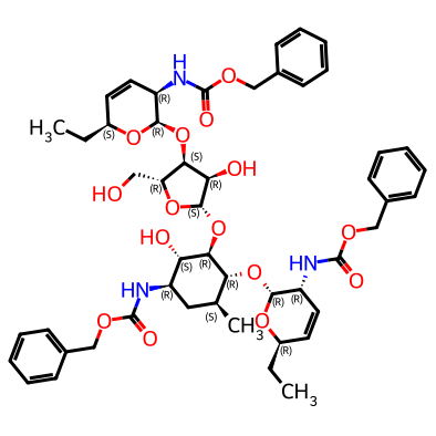 CC[C@H]1C=C[C@@H](NC(=O)OCc2ccccc2)[C@@H](O[C@H]2[C@@H](O)[C@H](O[C@@H]3[C@@H](O)[C@H](NC(=O)OCc4ccccc4)C[C@H](C)[C@H]3O[C@H]3O[C@H](CC)C=C[C@H]3NC(=O)OCc3ccccc3)O[C@@H]2CO)O1